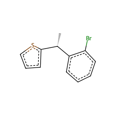 C[C@@H](c1cccs1)c1ccccc1Br